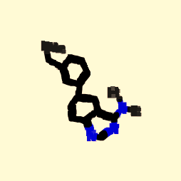 CCN(CC)c1ncnc2ccc(-c3cccc(CNC)c3)cc12